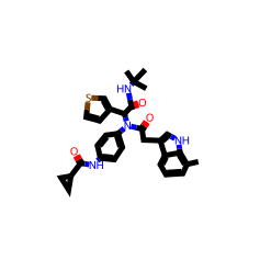 Cc1cccc2c(CC(=O)N(c3ccc(NC(=O)C4CC4)cc3)C(C(=O)NC(C)(C)C)c3ccsc3)c[nH]c12